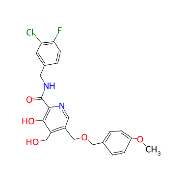 COc1ccc(COCc2cnc(C(=O)NCc3ccc(F)c(Cl)c3)c(O)c2CO)cc1